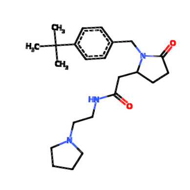 CC(C)(C)c1ccc(CN2C(=O)CCC2CC(=O)NCCN2CCCC2)cc1